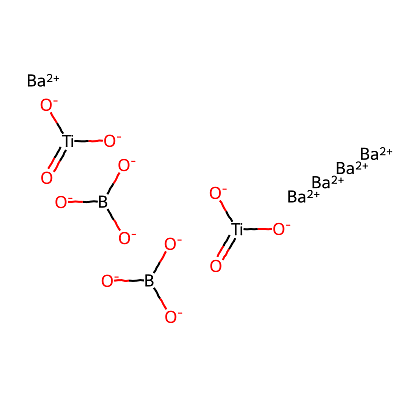 [Ba+2].[Ba+2].[Ba+2].[Ba+2].[Ba+2].[O-]B([O-])[O-].[O-]B([O-])[O-].[O]=[Ti]([O-])[O-].[O]=[Ti]([O-])[O-]